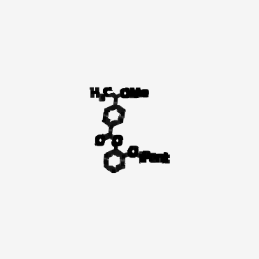 CCCC(C)Oc1ccccc1OC(=O)c1ccc(C(C)OC)cc1